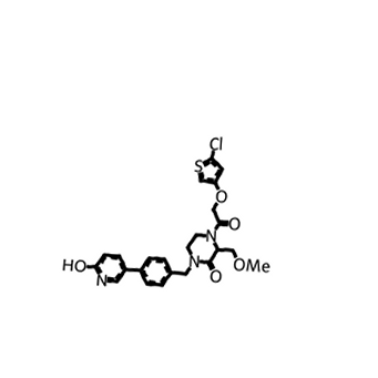 COCC1C(=O)N(Cc2ccc(-c3ccc(O)nc3)cc2)CCN1C(=O)COc1csc(Cl)c1